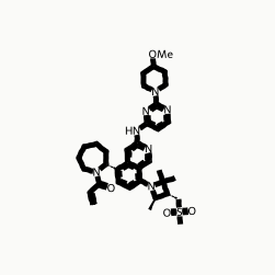 C=CC(=O)N1CCCCC[C@@H]1c1ccc(N2[C@H](C)[C@@H](CS(C)(=O)=O)C2(C)C)c2cnc(Nc3ccnc(N4CCC(OC)CC4)n3)cc12